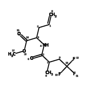 C=CCC(NC(=O)C(C)CC(F)(F)F)C(=O)OC